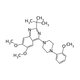 COc1cc2nc(C(C)(C)C)nc(N3CCN(c4ccccc4OC)CC3)c2cc1OC